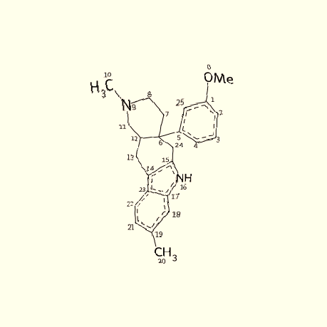 COc1cccc(C23CCN(C)CC2Cc2c([nH]c4cc(C)ccc24)C3)c1